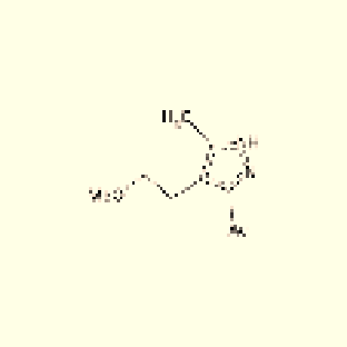 COCCc1c(C(C)=O)n[nH]c1C